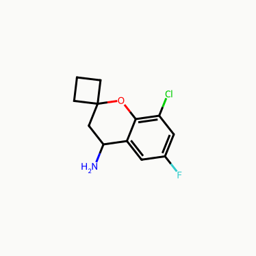 NC1CC2(CCC2)Oc2c(Cl)cc(F)cc21